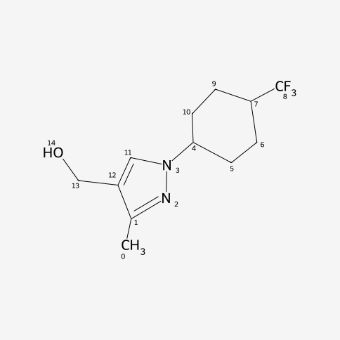 Cc1nn(C2CCC(C(F)(F)F)CC2)cc1CO